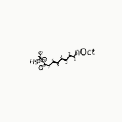 CCCCCCCCCCCCCCCC(=O)OC(=S)S